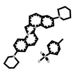 Cc1ccc(S(=O)(=O)[O-])cc1.c1cc2c(ccc3c[n+]4c5ccc(N6CCCCC6)cc5ccc4n32)cc1N1CCCCC1